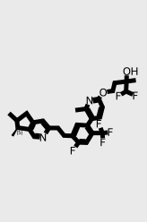 Cc1nc(OCCC(C)(O)C(F)F)ccc1-c1cc(CCc2cc3c(cn2)[C@@H](C)C(C)C3)c(F)cc1C(F)(F)F